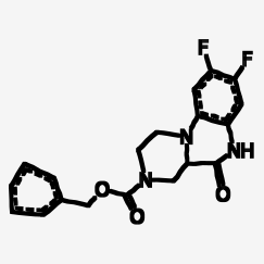 O=C1Nc2cc(F)c(F)cc2N2CCN(C(=O)OCc3ccccc3)CC12